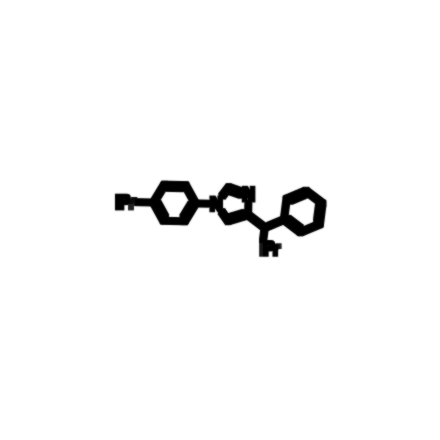 CC(C)c1ccc(-n2cnc(C(c3ccccc3)C(C)C)c2)cc1